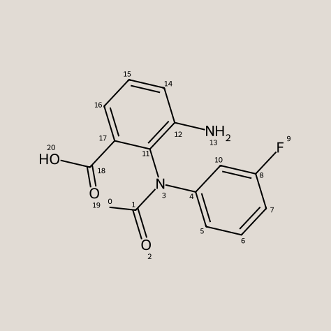 CC(=O)N(c1cccc(F)c1)c1c(N)cccc1C(=O)O